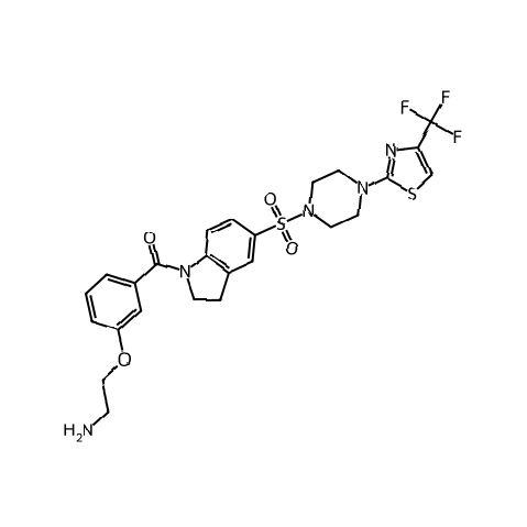 NCCOc1cccc(C(=O)N2CCc3cc(S(=O)(=O)N4CCN(c5nc(C(F)(F)F)cs5)CC4)ccc32)c1